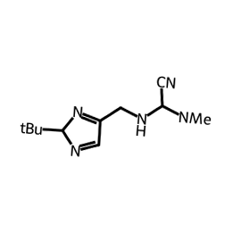 CNC(C#N)NCC1=NC(C(C)(C)C)N=C1